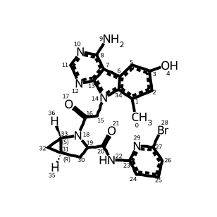 Cc1cc(O)cc2c3c(N)ncnc3n(CC(=O)N3C(C(=O)Nc4cccc(Br)n4)C[C@H]4C[C@@H]43)c12